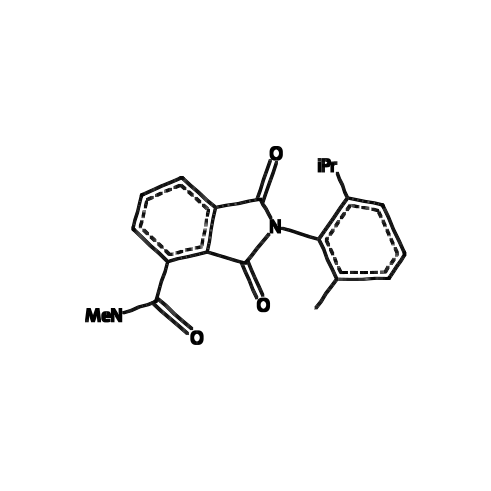 CNC(=O)c1cccc2c1C(=O)N(c1c(C)cccc1C(C)C)C2=O